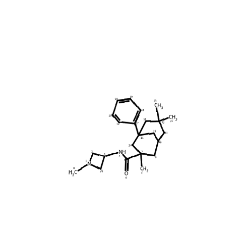 CN1CC(NC(=O)C2(C)CC3CC(C)(C)CC(c4ccccc4)(C3)C2)C1